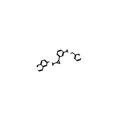 O=C(NCc1cccnc1)c1cccc(C2CC2C(=O)Nc2ccc3cnccc3c2)c1